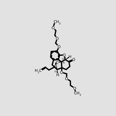 C=CCN1CC[C@@]23c4c5ccc(OCOCCOC)c4O[C@@H]2C(=O)CCC3(OCOCCOC)[C@@H]1C5